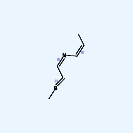 C/B=C/C=N\C=C/C